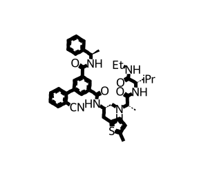 CCNC(=O)[C@@H](NC(=O)[C@H](C)NC[C@H](Cc1ccc(C)s1)NC(=O)c1cc(C(=O)N[C@H](C)c2ccccc2)cc(-c2ccccc2C#N)c1)C(C)C